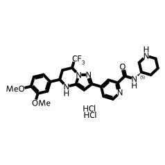 COc1ccc(C2CC(C(F)(F)F)n3nc(-c4ccnc(C(=O)N[C@H]5CCCNC5)c4)cc3N2)cc1OC.Cl.Cl